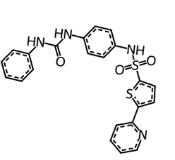 O=C(Nc1ccccc1)Nc1ccc(NS(=O)(=O)c2ccc(-c3ccccn3)s2)cc1